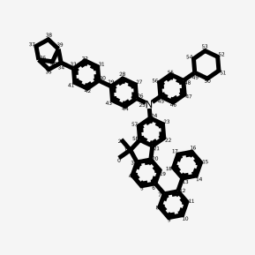 CC1(C)c2ccc(-c3ccccc3-c3ccccc3)cc2-c2ccc(N(c3ccc(-c4ccc(C5CC6CCC5C6)cc4)cc3)c3ccc(C4CCCCC4)cc3)cc21